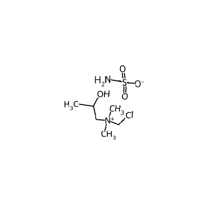 CC(O)C[N+](C)(C)CCl.NS(=O)(=O)[O-]